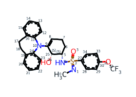 CN=S(=O)(N[C@H]1CCC=C(N2c3ccccc3CCc3ccccc32)[C@H]1O)c1ccc(OC(F)(F)F)cc1